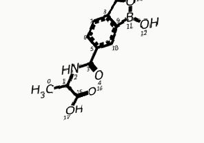 CC(NC(=O)c1ccc2c(c1)B(O)OC2)C(=O)O